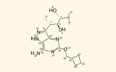 CC(C)[C@@H](O)[C@@H](O)[C@@H](C)c1n[nH]c2c(N)nc(OCC3CCC3)nc12